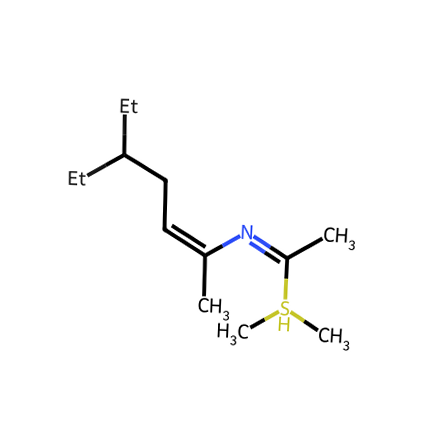 CCC(CC)CC=C(C)N=C(C)[SH](C)C